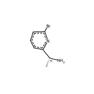 C[C@@H](N)c1cccc(Br)n1